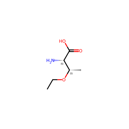 CCO[C@@H](C)[C@H](N)C(=O)O